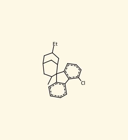 CCC1CC2CC(C)C3(c4ccccc4-c4c(Cl)cccc43)C(C1)C2